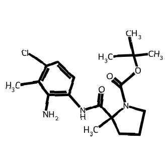 Cc1c(Cl)ccc(NC(=O)C2(C)CCCN2C(=O)OC(C)(C)C)c1N